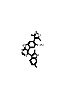 COc1cc2c(cc1-c1c(C)noc1C)[nH]c1ncnc(-c3c(C)[nH]c4cc(C)ccc34)c12